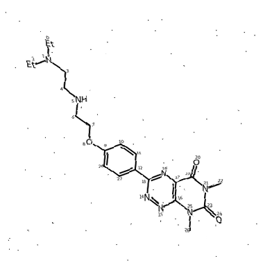 CCN(CC)CCNCCOc1ccc(-c2nnc3c(n2)c(=O)n(C)c(=O)n3C)cc1